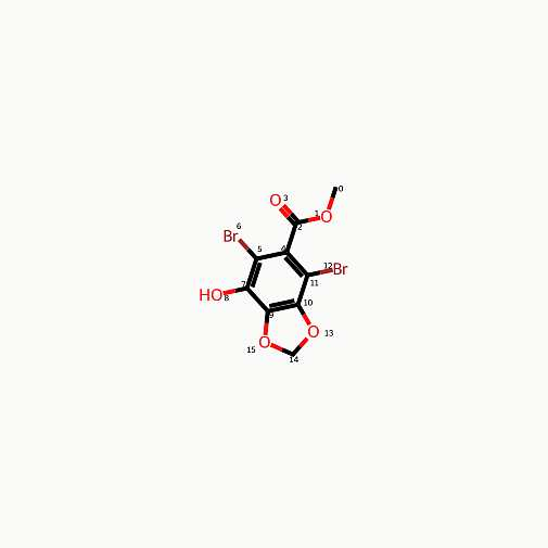 COC(=O)c1c(Br)c(O)c2c(c1Br)OCO2